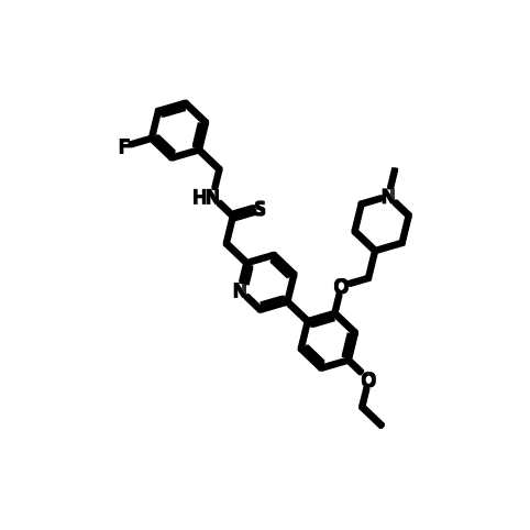 CCOc1ccc(-c2ccc(CC(=S)NCc3cccc(F)c3)nc2)c(OCC2CCN(C)CC2)c1